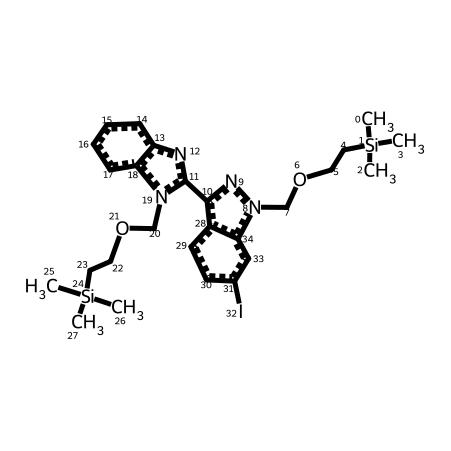 C[Si](C)(C)CCOCn1nc(-c2nc3ccccc3n2COCC[Si](C)(C)C)c2ccc(I)cc21